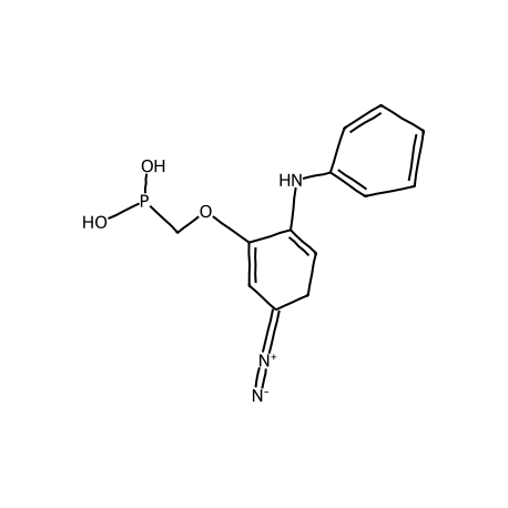 [N-]=[N+]=C1C=C(OCP(O)O)C(Nc2ccccc2)=CC1